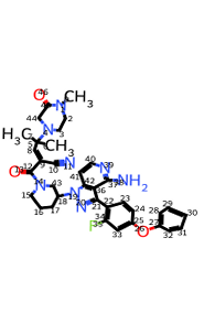 CN1CCN(C(C)(C)C=C(C#N)C(=O)N2CCCC(n3nc(-c4ccc(Oc5ccccc5)cc4F)c4c(N)nccc43)C2)CC1=O